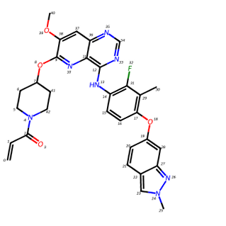 C=CC(=O)N1CCC(Oc2nc3c(Nc4ccc(Oc5ccc6cn(C)nc6c5)c(C)c4F)ncnc3cc2OC)CC1